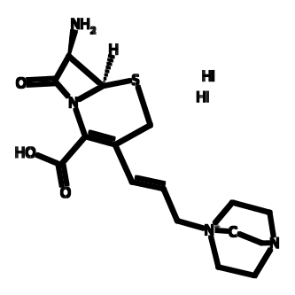 I.I.N[C@@H]1C(=O)N2C(C(=O)O)=C(/C=C/C[N+]34CCN(CC3)CC4)CS[C@H]12